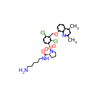 Cc1cc(C)c2cccc(OCc3c(Cl)ccc(S(=O)(=O)N4CCC[C@H]4C(=O)NCCCCCN)c3Cl)c2n1